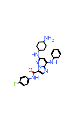 NC1CCC(Nc2cc(Nc3ccccc3)c3ncc(C(=O)Nc4ccc(F)cc4)n3n2)CC1